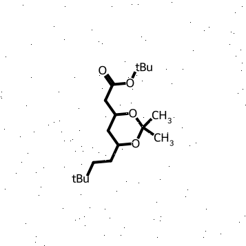 CC(C)(C)CCC1CC(CC(=O)OC(C)(C)C)OC(C)(C)O1